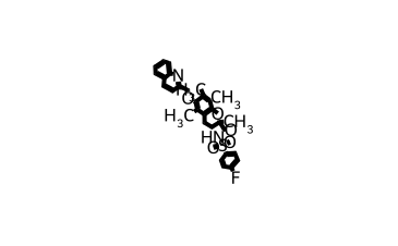 Cc1c(C)c2c(c(C)c1OCc1ccc3ccccc3n1)CCC(C)(C(=O)NS(=O)(=O)c1ccc(F)cc1)O2